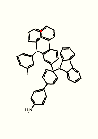 Cc1cccc(N(c2ccccc2)c2cc(C3(n4c5ccccc5c5ccccc54)C=CC(c4ccc(N)cc4)C=C3)ccc2-c2ccccc2)c1